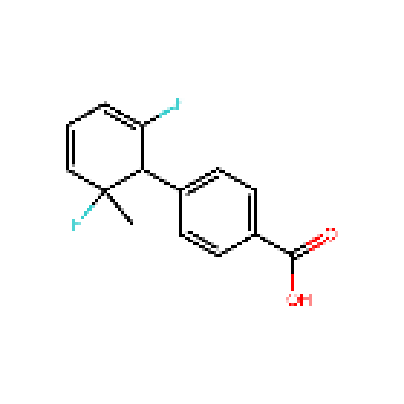 CC1(F)C=CC=C(F)C1c1ccc(C(=O)O)cc1